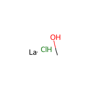 CO.Cl.[La]